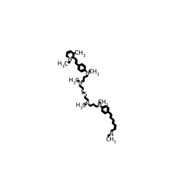 CC/N=C/C=C\C=C\C=C\c1ccc(N(C)CCCN(C)CCSSCCN(C)CCCN(C)c2ccc(/C=C/C3C(C)C=CCN3CC)cc2)cc1